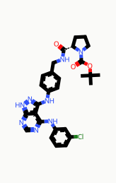 CC(C)(C)OC(=O)N1CCC[C@H]1C(=O)NCc1ccc(Nc2n[nH]c3ncnc(Nc4cccc(Cl)c4)c23)cc1